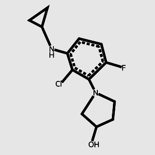 OC1CCN(c2c(F)ccc(NC3CC3)c2Cl)C1